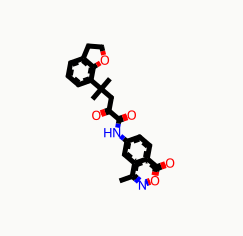 Cc1noc(=O)c2ccc(NC(=O)C(=O)CC(C)(C)c3cccc4c3OCC4)cc12